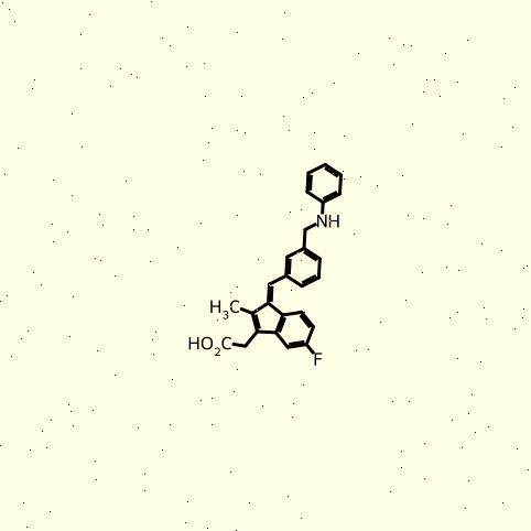 CC1=C(CC(=O)O)c2cc(F)ccc2/C1=C\c1cccc(CNc2ccccc2)c1